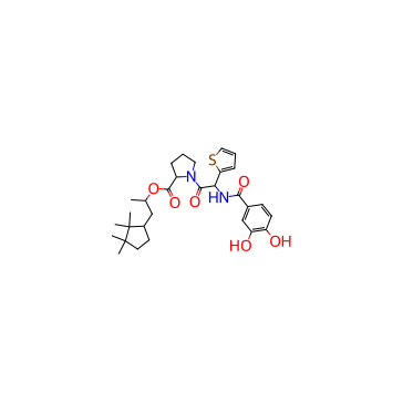 CC(CC1CCC(C)(C)C1(C)C)OC(=O)C1CCCN1C(=O)C(NC(=O)c1ccc(O)c(O)c1)c1cccs1